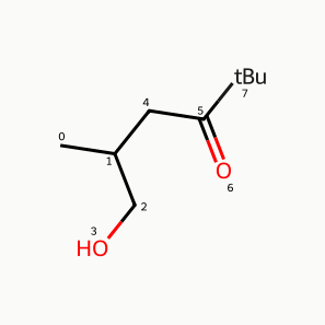 CC(CO)CC(=O)C(C)(C)C